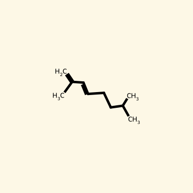 C=C(C)C=CCCC(C)C